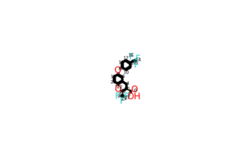 O=C(O)[C@@H]1Cc2cc(Oc3ccc(C(F)(F)F)cc3)ccc2O[C@@H]1C(F)(F)F